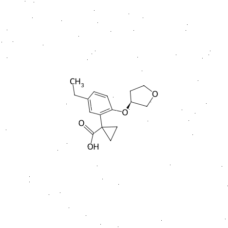 CCc1ccc(O[C@H]2CCOC2)c(C2(C(=O)O)CC2)c1